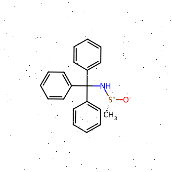 C[S@@+]([O-])NC(c1ccccc1)(c1ccccc1)c1ccccc1